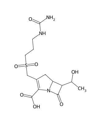 CC(O)C1C(=O)N2C(C(=O)O)=C(CS(=O)(=O)CCCNC(N)=O)CC12